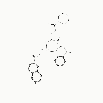 CC[C@H](CN1CC[C@@H](CNC(=O)c2ccc3cc(Cl)ccc3c2)N[C@@H](CCC(=O)N2CCCCC2)C1=O)c1ccccc1